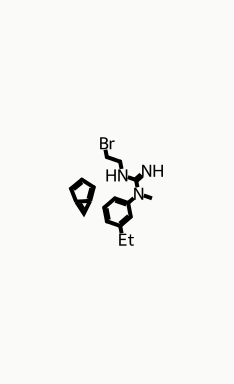 CCc1cccc(N(C)C(=N)NCCBr)c1.c1cc2cc-2c1